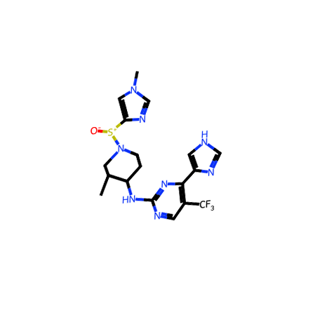 CC1CN([S+]([O-])c2cn(C)cn2)CCC1Nc1ncc(C(F)(F)F)c(-c2c[nH]cn2)n1